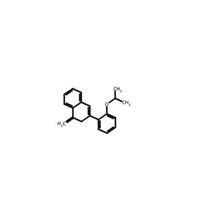 C=C1CC(c2ccccc2OC(C)C)=Cc2ccccc21